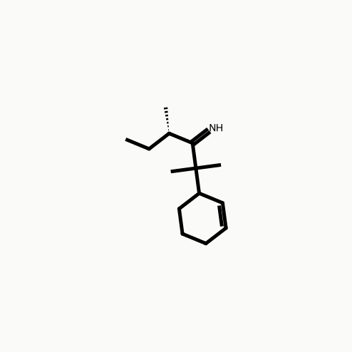 CC[C@H](C)C(=N)C(C)(C)C1C=CCCC1